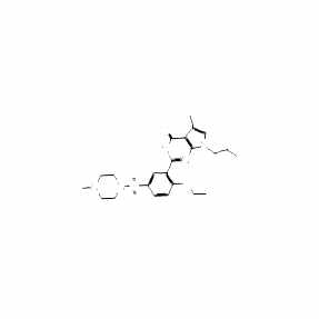 CCCn1cc(C)c2c(=O)[nH]c(-c3cc(S(=O)(=O)N4CCN(C)CC4)ccc3OCC)nc21